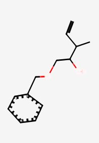 C=CC(C)C(O)COCc1ccccc1